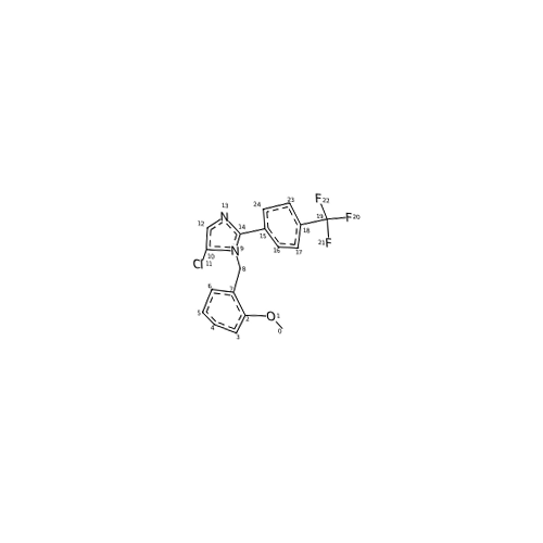 COc1ccccc1Cn1c(Cl)cnc1-c1ccc(C(F)(F)F)cc1